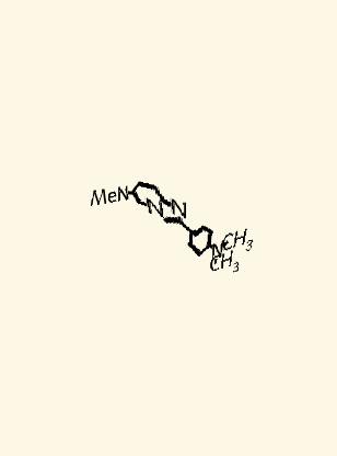 CNc1ccc2nc(-c3ccc(N(C)C)cc3)cn2c1